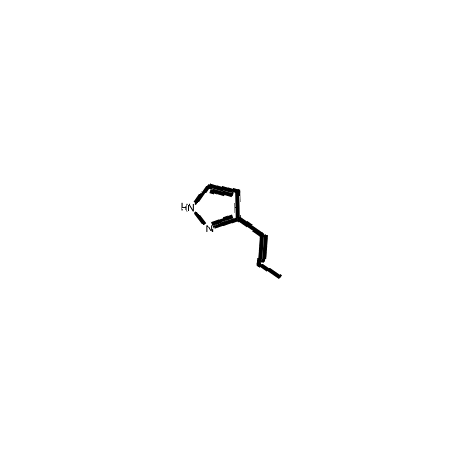 C/C=[C]/c1cc[nH]n1